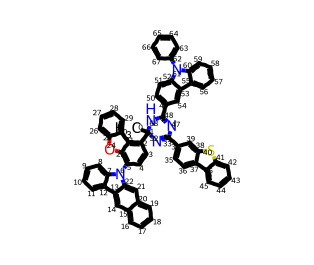 CC1(c2ccc(-n3c4ccccc4c4cc5ccccc5cc43)c3oc4ccccc4c23)N=C(c2ccc3c(c2)sc2ccccc23)N=C(c2ccc3c(c2)c2ccccc2n3-c2ccccc2)N1